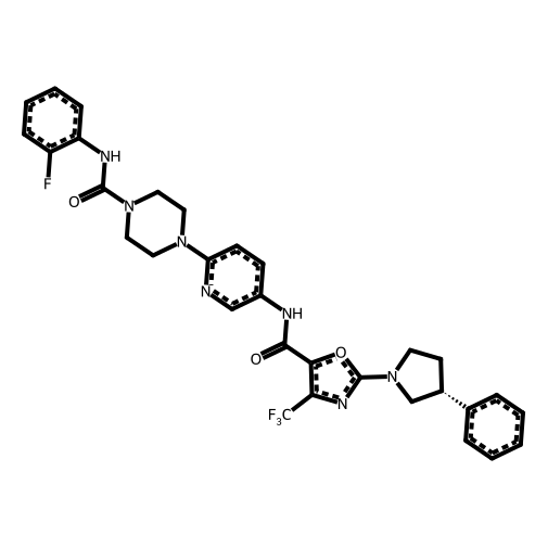 O=C(Nc1ccc(N2CCN(C(=O)Nc3ccccc3F)CC2)nc1)c1oc(N2CC[C@H](c3ccccc3)C2)nc1C(F)(F)F